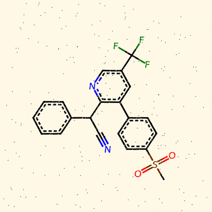 CS(=O)(=O)c1ccc(-c2cc(C(F)(F)F)cnc2C(C#N)c2ccccc2)cc1